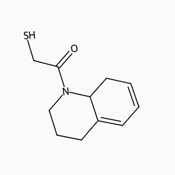 O=C(CS)N1CCCC2=CC=CCC21